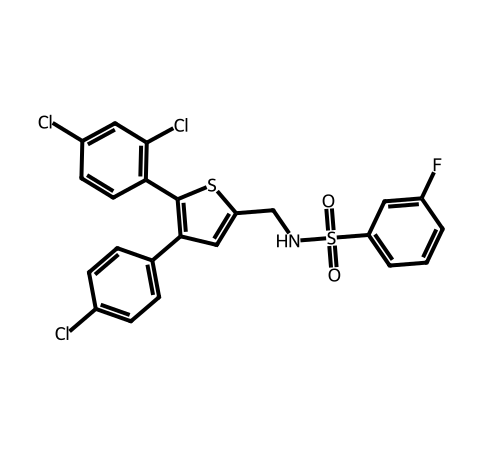 O=S(=O)(NCc1cc(-c2ccc(Cl)cc2)c(-c2ccc(Cl)cc2Cl)s1)c1cccc(F)c1